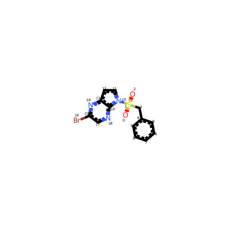 O=S(=O)(Cc1ccccc1)n1ccc2nc(Br)cnc21